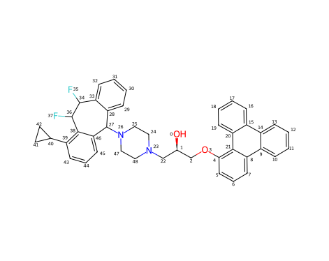 O[C@@H](COc1cccc2c3ccccc3c3ccccc3c12)CN1CCN(C2c3ccccc3C(F)C(F)c3c(C4CC4)cccc32)CC1